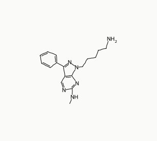 CNc1ncc2c(-c3ccccc3)nn(CCCCCN)c2n1